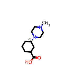 CN1CCN([C@H]2CCCC(C(=O)O)C2)CC1